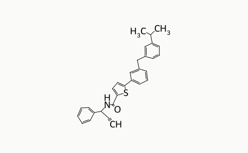 C#CC(NC(=O)c1ccc(-c2cccc(Cc3cccc(C(C)C)c3)c2)s1)c1ccccc1